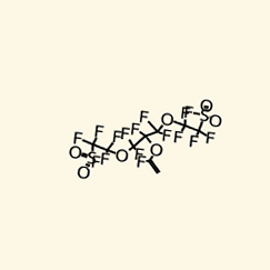 C=C(F)OC(F)(C(F)(F)OC(F)(F)C(F)(F)S(=O)(=O)F)C(F)(F)OC(F)(F)C(F)(F)S(=O)(=O)F